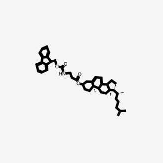 CC(C)CCC[C@@H](C)[C@H]1CCC2C3CC=C4CC(OC(=O)CCNC(=O)OCC5c6ccccc6-c6ccccc65)CC[C@]4(C)C3CC[C@@]21C